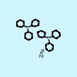 [N].[N].[Pd].c1ccc(P(c2ccccc2)c2ccccc2)cc1.c1ccc(P(c2ccccc2)c2ccccc2)cc1